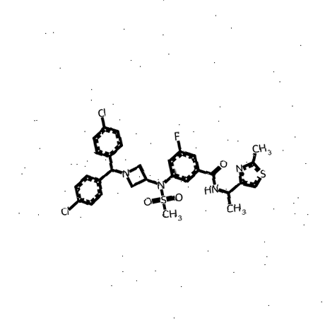 Cc1nc(C(C)NC(=O)c2cc(F)cc(N(C3CN(C(c4ccc(Cl)cc4)c4ccc(Cl)cc4)C3)S(C)(=O)=O)c2)cs1